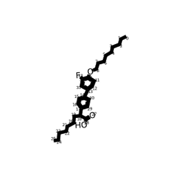 CCCCCCCCCOc1ccc(-c2ccc(C(CCCCCCC)C(=O)O)cc2)cc1F